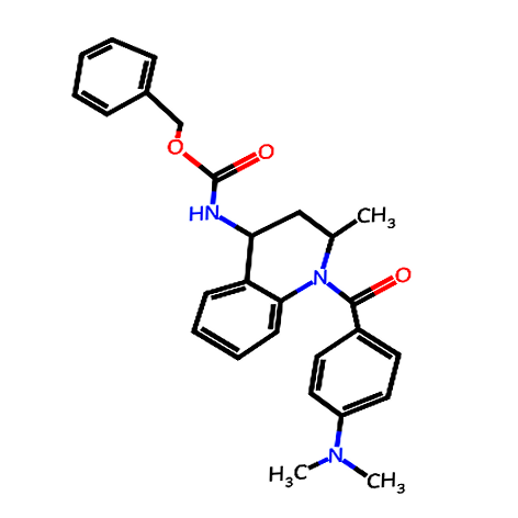 CC1CC(NC(=O)OCc2ccccc2)c2ccccc2N1C(=O)c1ccc(N(C)C)cc1